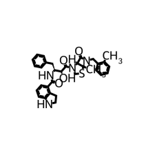 Cc1ccccc1CN1C(=O)[C@H]2N(C(=O)[C@@H](O)[C@H](Cc3ccccc3)NC(=O)c3cccc4c3CCN4)CSC21C